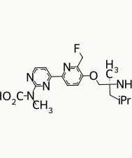 CC(C)C[C@](C)(N)COc1ccc(-c2ccnc(N(C)C(=O)O)n2)nc1CF